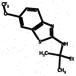 CCC(C)(C)Nc1nc2ccc(OC(F)(F)F)cc2s1